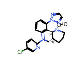 O=CN1CCC[C@H](CNc2ccc(Cl)cn2)[C@H]1c1ccccc1-n1nccn1